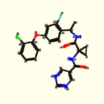 CC(NC(=O)C1(NC(=O)c2cncnc2)CC1)c1ccc(Oc2ccccc2Cl)cc1F